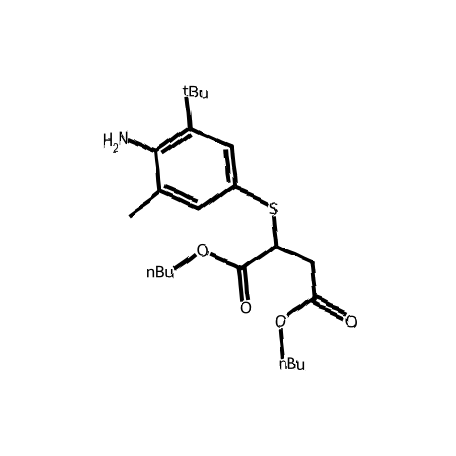 CCCCOC(=O)CC(Sc1cc(C)c(N)c(C(C)(C)C)c1)C(=O)OCCCC